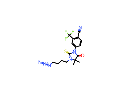 CC1(C)C(=O)N(c2ccc(C#N)c(C(F)(F)F)c2)C(=S)N1CCCCN=[N+]=[N-]